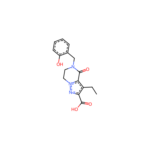 CCc1c(C(=O)O)nn2c1C(=O)N(Cc1ccccc1O)CC2